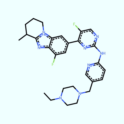 CCN1CCN(Cc2ccc(Nc3ncc(F)c(-c4cc(F)c5nc6n(c5c4)CCCC6C)n3)nc2)CC1